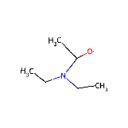 CCN(CC)C(C)[O]